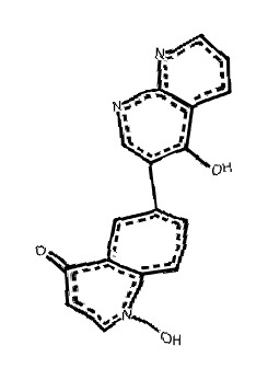 O=c1ccn(O)c2ccc(-c3cnc4ncccc4c3O)cc12